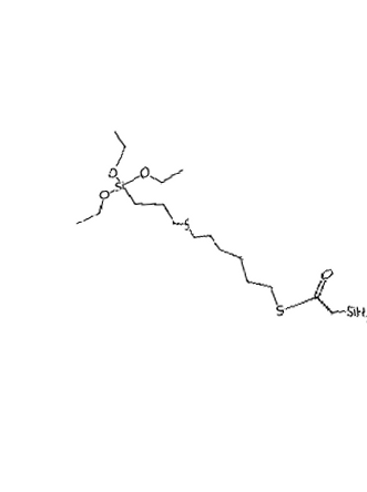 CCO[Si](CCCSCCCCCCSC(=O)C[SiH3])(OCC)OCC